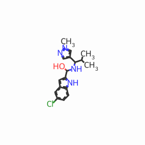 CC(C)C(NC(O)c1cc2cc(Cl)ccc2[nH]1)c1cnn(C)c1